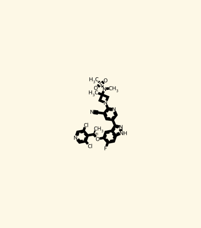 C[C@@H](Oc1cc2c(-c3cnc(N4CC(C)(N(C)S(C)(=O)=O)C4)c(C#N)c3)n[nH]c2cc1F)c1c(Cl)cncc1Cl